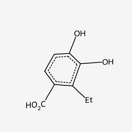 CCc1c(C(=O)O)ccc(O)c1O